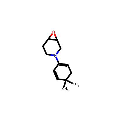 CC1(C)C=CC(N2CCC3OC3C2)=CC1